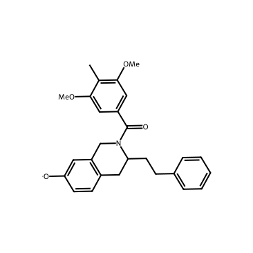 COc1cc(C(=O)N2Cc3cc([O])ccc3CC2CCc2ccccc2)cc(OC)c1C